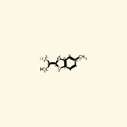 CC(C)=C1Oc2ccc(C)cc2O1